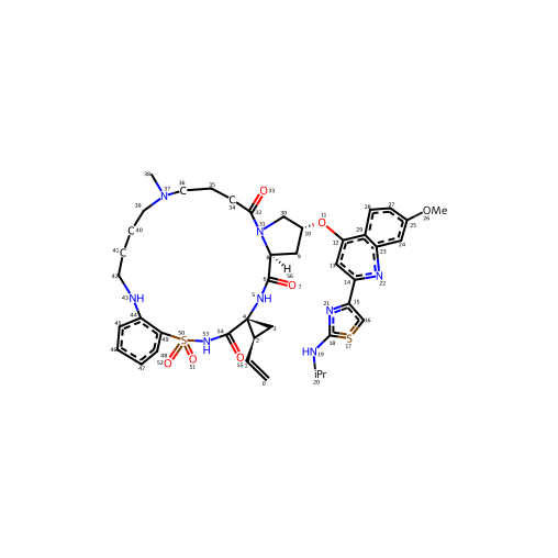 C=C[C@@H]1C[C@@]12NC(=O)[C@@H]1C[C@@H](Oc3cc(-c4csc(NC(C)C)n4)nc4cc(OC)ccc34)CN1C(=O)CCCN(C)CCCCNc1ccccc1S(=O)(=O)NC2=O